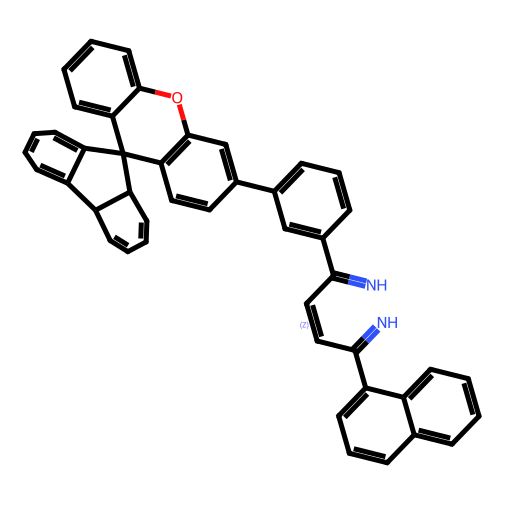 N=C(/C=C\C(=N)c1cccc2ccccc12)c1cccc(-c2ccc3c(c2)Oc2ccccc2C32c3ccccc3C3C=CC=CC32)c1